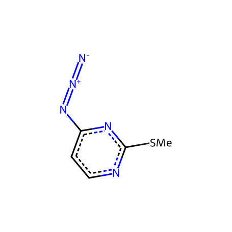 CSc1nccc(N=[N+]=[N-])n1